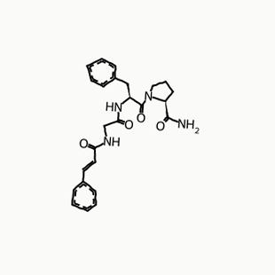 NC(=O)[C@@H]1CCCN1C(=O)[C@H](Cc1ccccc1)NC(=O)CNC(=O)/C=C/c1ccccc1